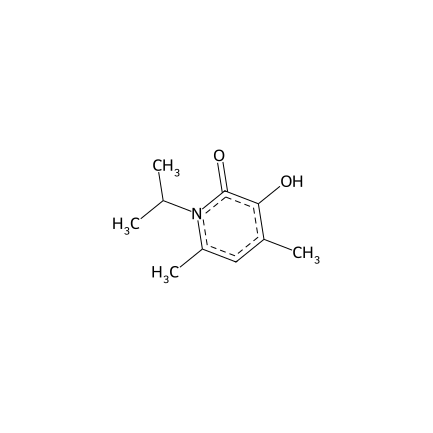 Cc1cc(C)n(C(C)C)c(=O)c1O